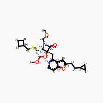 COCO[C@@]1(Cc2nccc3oc(CCC4CC4)cc23)C(=O)N(COC)[C@H]1CSCC1CCC1